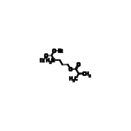 C=C(C)C(=O)OCCC[SiH2]C(OCC)OCC